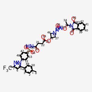 Cc1ccc(-c2cc(C(F)(F)F)nn2-c2ccc(S(=O)(=O)NC(=O)CCC(=O)OC3CN(n4on4OC(C)N4C(=O)c5ccccc5C4=O)C3)cc2)cc1